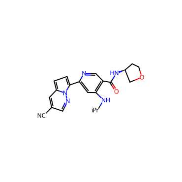 CC(C)Nc1cc(-c2ccc3cc(C#N)cnn23)ncc1C(=O)N[C@H]1CCOC1